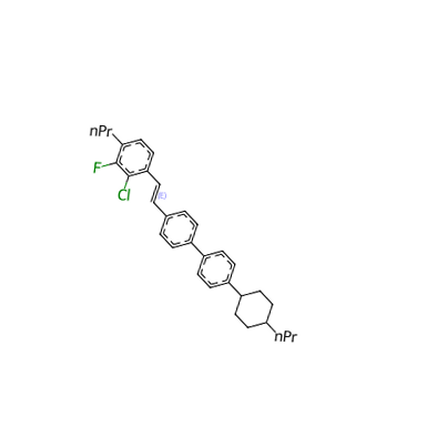 CCCc1ccc(/C=C/c2ccc(-c3ccc(C4CCC(CCC)CC4)cc3)cc2)c(Cl)c1F